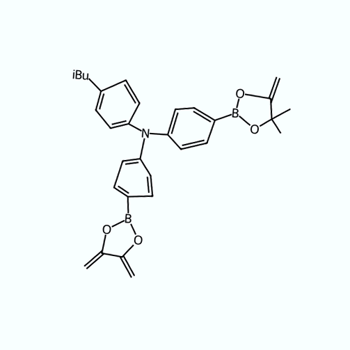 C=C1OB(c2ccc(N(c3ccc(B4OC(=C)C(C)(C)O4)cc3)c3ccc(C(C)CC)cc3)cc2)OC1=C